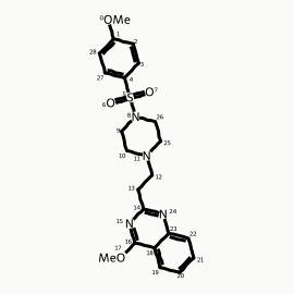 COc1ccc(S(=O)(=O)N2CCN(CCc3nc(OC)c4ccccc4n3)CC2)cc1